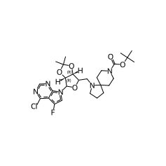 CC(C)(C)OC(=O)N1CCC2(CCCN2CC2OC(n3cc(F)c4c(Cl)ncnc43)[C@@H]3OC(C)(C)O[C@H]23)CC1